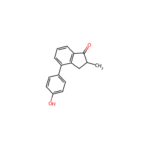 CC1Cc2c(cccc2-c2ccc(O)cc2)C1=O